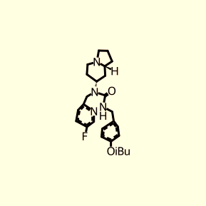 CC(C)COc1ccc(CNC(=O)N(Cc2ccc(F)cn2)[C@@H]2CCN3CCC[C@@H]3C2)cc1